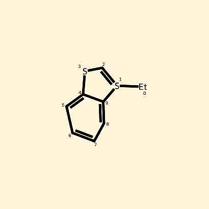 CCS1=CSc2ccccc21